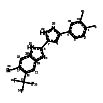 Cc1ccc(-c2cc(-c3nc4cc(C(F)(F)F)c(Br)cc4[nH]3)[nH]n2)cc1C